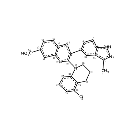 Cc1n[nH]c2ccc(-c3nc4ccc(C(=O)O)cc4nc3N3CCCc4c(Cl)cccc43)cc12